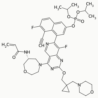 C#Cc1c(F)ccc2cc(OP(=O)(OC(C)C)OC(C)C)cc(-c3ncc4c(N5CCOC[C@H](NC(=O)C=C)C5)nc(OCC5(CN6CCOCC6)CC5)nc4c3F)c12